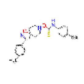 Cc1ccc(C2=NOC3(CCN(OC(=S)Nc4ccc(C(C)(C)C)cc4)CC3)C2)cc1